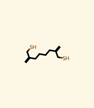 C=C(CS)CCCCC(=C)CS